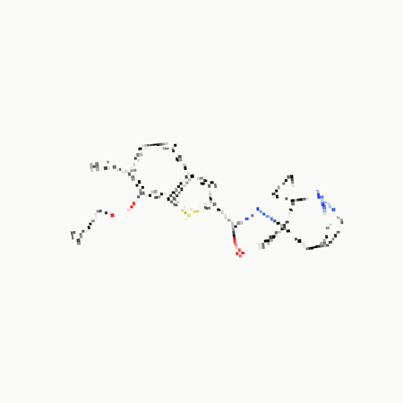 Cc1ccc2cc(C(=O)N[C@H]3C4CCN(CC4)C34CC4)sc2c1OCC(F)(F)F